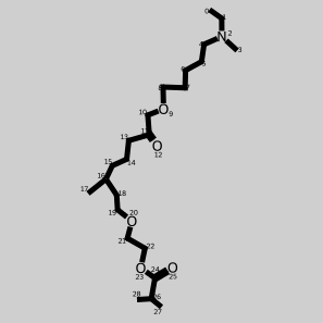 CCN(C)CCCCCOCC(=O)CCCC(C)CCOCCOC(=O)C(C)C